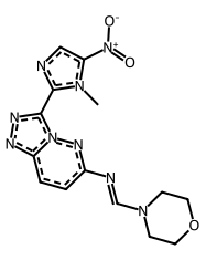 Cn1c([N+](=O)[O-])cnc1-c1nnc2ccc(N=CN3CCOCC3)nn12